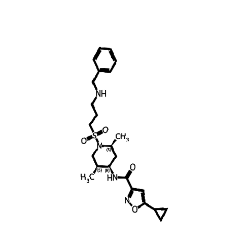 C[C@H]1CN(S(=O)(=O)CCCNCc2ccccc2)[C@@H](C)C[C@H]1NC(=O)c1cc(C2CC2)on1